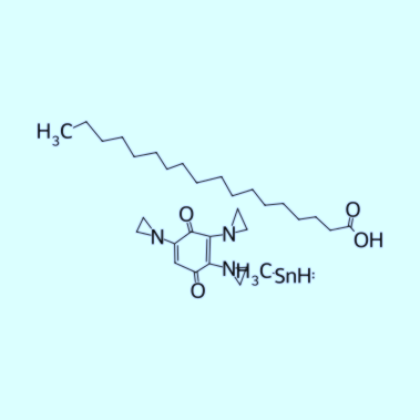 CCCCCCCCCCCCCCCCCC(=O)O.O=C1C=C(N2CC2)C(=O)C(N2CC2)=C1N1CC1.[CH3][SnH]